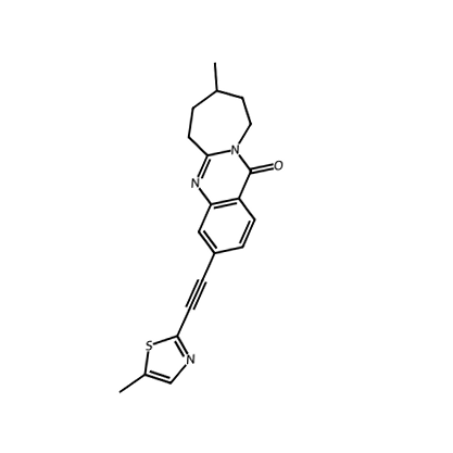 Cc1cnc(C#Cc2ccc3c(=O)n4c(nc3c2)CCC(C)CC4)s1